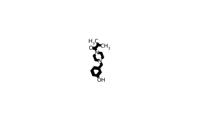 CC(C)C(=O)N1CCN(Cc2cccc(O)c2)CC1